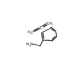 C=C=C.NCc1ccccc1